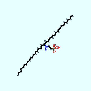 CCCCCCCCC=CCCCCCCCCC(CCCCCCCCC=CCCCCCCCC)NCCS(=O)(=O)O